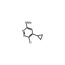 CNc1cc(C2CC2)c(Cl)nn1